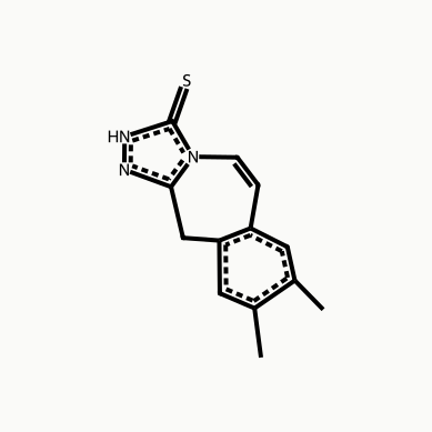 Cc1cc2c(cc1C)Cc1n[nH]c(=S)n1C=C2